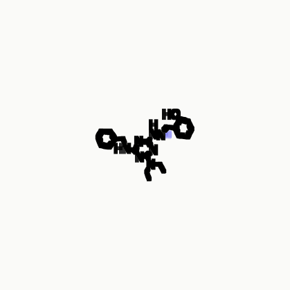 CCN(CC)c1nc(NCc2ccccc2)nc(N/N=C/c2ccccc2O)n1